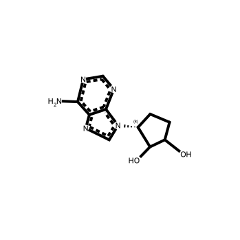 Nc1ncnc2c1ncn2[C@@H]1CCC(O)C1O